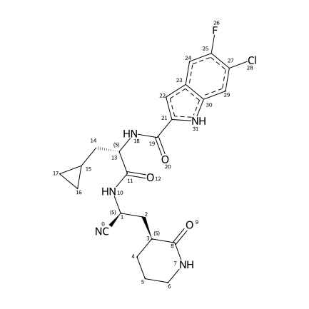 N#C[C@H](C[C@@H]1CCCNC1=O)NC(=O)[C@H](CC1CC1)NC(=O)c1cc2cc(F)c(Cl)cc2[nH]1